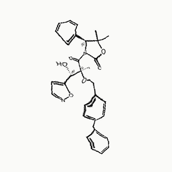 CC1(C)OC(=O)N(C(=O)[C@@](C)(OCc2ccc(-c3ccccc3)cc2)[C@@H](O)c2ccno2)[C@H]1c1ccccc1